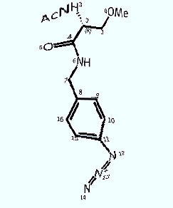 COC[C@@H](NC(C)=O)C(=O)NCc1ccc(N=[N+]=[N-])cc1